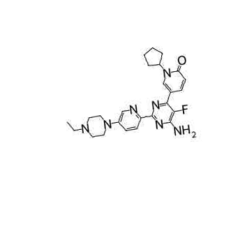 CCN1CCN(c2ccc(-c3nc(N)c(F)c(-c4ccc(=O)n(C5CCCC5)c4)n3)nc2)CC1